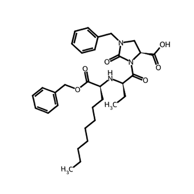 CCCCCCCC[C@H](N[C@H](CC)C(=O)N1C(=O)N(Cc2ccccc2)C[C@H]1C(=O)O)C(=O)OCc1ccccc1